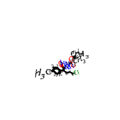 Cc1ccc(C(CCCCl)C(=O)NNC(=O)OC(C)(C)C)cc1